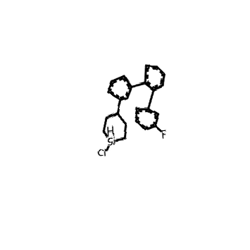 Fc1cccc(-c2ccccc2-c2cccc(C3CC[SiH](Cl)CC3)c2)c1